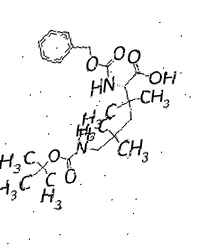 CC(C)(CNC(=O)OC(C)(C)C)CC(C)(C)[C@H](NC(=O)OCc1ccccc1)C(=O)O